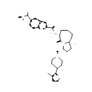 O=C(N[C@H]1CCCC[C@H]2CC[C@@H](C(=O)N3CCC(c4n[nH]cc4F)CC3)N2C1=O)c1cc2cc(C(F)P(=O)(O)O)ccc2s1